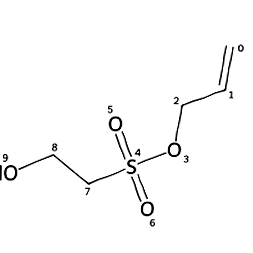 C=CCOS(=O)(=O)CCO